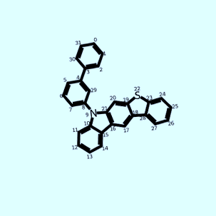 c1ccc(-c2cccc(-n3c4ccccc4c4cc5c(cc43)sc3ccccc35)c2)cc1